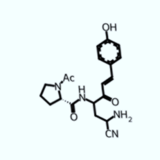 CC(=O)N1CCC[C@H]1C(=O)NC(CC(N)C#N)C(=O)/C=C/c1ccc(O)cc1